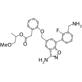 COCC(C)OC(=O)Cc1ccccc1OCc1cc(-c2cccc(CN)c2F)c2onc(N)c2c1